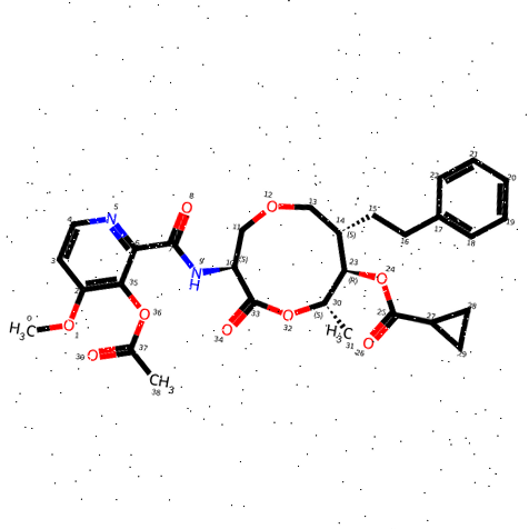 COc1ccnc(C(=O)N[C@H]2COC[C@H](CCc3ccccc3)[C@@H](OC(=O)C3CC3)[C@H](C)OC2=O)c1OC(C)=O